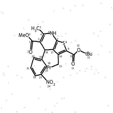 COC(=O)C1=C(C)Nc2sc(C(=O)OC(C)(C)C)c(CC(C)C)c2C1c1cccc([N+](=O)[O-])c1